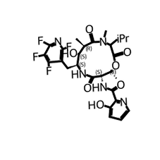 CC(C)C1C(=O)O[C@H](C)[C@H](NC(=O)c2ncccc2O)C(=O)N[C@@H](Cc2c(F)nc(F)c(F)c2F)[C@@H](O)[C@@H](C)C(=O)N1C